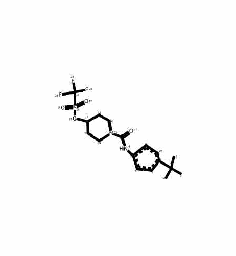 CC(C)(C)c1ccc(NC(=O)N2CCC(OS(=O)(=O)C(F)(F)F)CC2)cc1